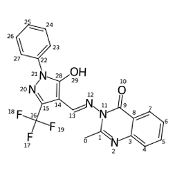 Cc1nc2ccccc2c(=O)n1/N=C/c1c(C(F)(F)F)nn(-c2ccccc2)c1O